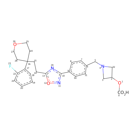 O=C(O)OC1CN(Cc2ccc(-c3noc(CCC4(c5ccccc5F)CCOCC4)n3)cc2)C1